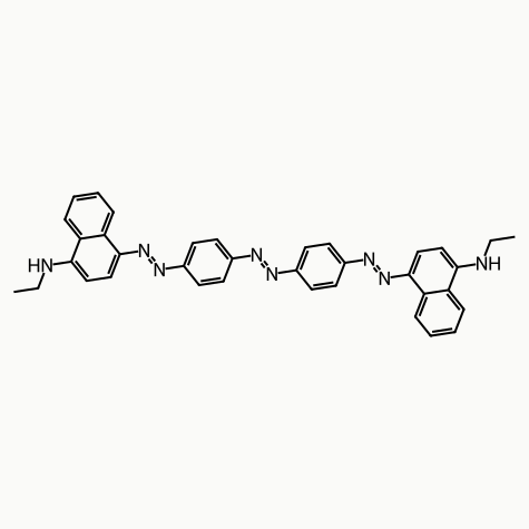 CCNc1ccc(N=Nc2ccc(N=Nc3ccc(N=Nc4ccc(NCC)c5ccccc45)cc3)cc2)c2ccccc12